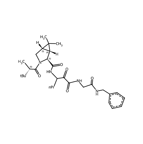 CCCC(NC(=O)[C@@H]1[C@@H]2[C@H](CN1C(=O)[C@@H](C)C(C)(C)C)C2(C)C)C(=O)C(=O)NCC(=O)NCc1ccccc1